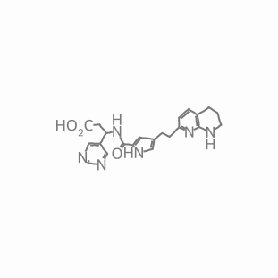 O=C(O)CC(NC(=O)c1cc(CCc2ccc3c(n2)NCCC3)c[nH]1)c1cncnc1